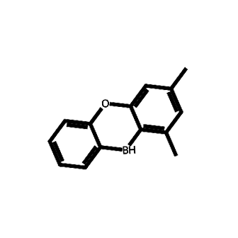 Cc1cc(C)c2c(c1)Oc1ccccc1B2